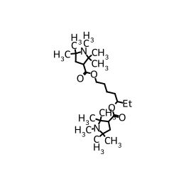 CCC(CCCCOC(=O)C1CC(C)(C)N(C)C1(C)C)OC(=O)C1CC(C)(C)N(C)C1(C)C